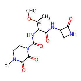 CCN1CCN(C(=O)NC(C(=O)NC2CNC2=O)[C@H](C)OC=O)C(=O)C1=O